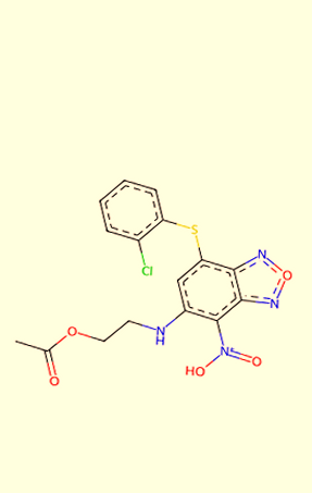 CC(=O)OCCNc1cc(Sc2ccccc2Cl)c2nonc2c1[N+](=O)O